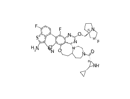 N#Cc1c(N)sc2c(F)ccc(-c3c(Cl)c4c5c(nc(OC[C@@]67CCCN6C[C@H](F)C7)nc5c3F)N3CCN(C(=O)[C@@H]5NC5C5CC5)CCC3CCO4)c12